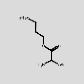 CCCCCCCCCOC(=O)C(N)CCC